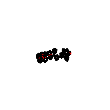 C1=C(c2ccc(N(c3cccc(-c4ccc5c(c4)-c4ccccc4C54c5ccccc5Oc5ccccc54)c3)c3ccccc3-c3ccc(-c4ccccc4)cc3)cc2)CCC2=C1C1(c3ccccc3Oc3ccccc31)c1ccccc12